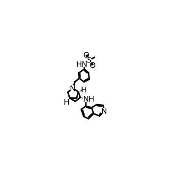 CS(=O)(=O)Nc1cccc(CN2C[C@H]3C[C@@H]2[C@H](Nc2cccc4cnccc24)C3)c1